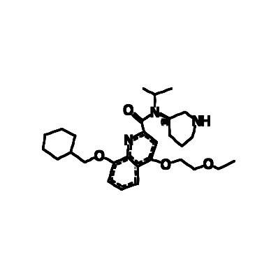 CCOCCOc1cc(C(=O)N(C(C)C)[C@@H]2CCCNC2)nc2c(OCC3CCCCC3)cccc12